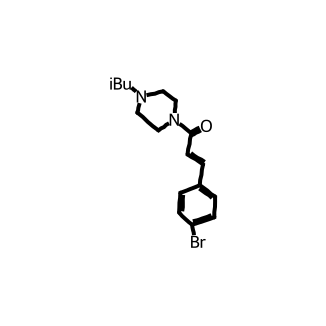 CCC(C)N1CCN(C(=O)C=Cc2ccc(Br)cc2)CC1